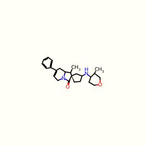 CC1COCCC1NC1CC[C@@]2(C1)C(=O)N1CC=C(c3ccccc3)CC1C2C